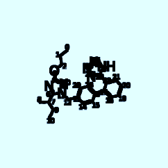 CCCOc1nc(C(C)CC)n(Cc2ccc(-c3ccccc3-c3nnn[nH]3)cc2)n1